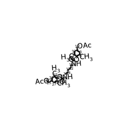 CC(=O)OCc1cc(C)c(OC(=O)NCCCCCNC(=O)Oc2c(C)cc(COC(C)=O)cc2C)c(C)c1